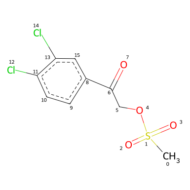 CS(=O)(=O)OCC(=O)c1ccc(Cl)c(Cl)c1